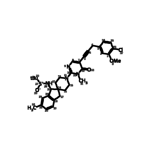 COc1cc(CC#Cc2cnc(N3CCC4(CC3)Cc3ccc(C)cc3[C@H]4N[S+]([O-])C(C)(C)C)n(C)c2=O)ccc1Cl